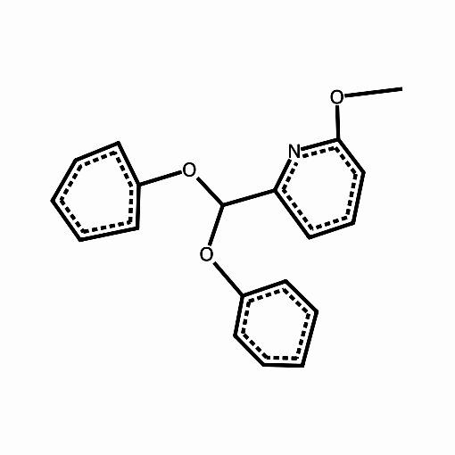 COc1cccc(C(Oc2ccccc2)Oc2ccccc2)n1